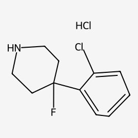 Cl.FC1(c2ccccc2Cl)CCNCC1